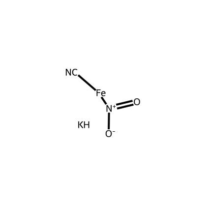 N#[C][Fe][N+](=O)[O-].[KH]